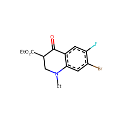 CCOC(=O)C1CN(CC)c2cc(Br)c(F)cc2C1=O